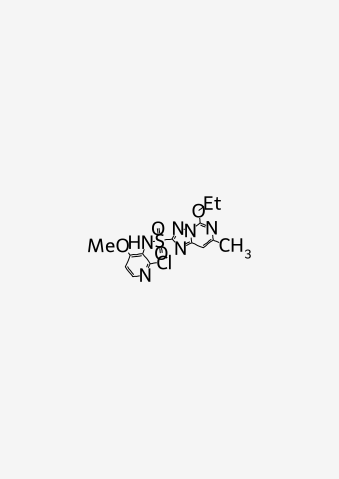 CCOc1nc(C)cc2nc(S(=O)(=O)Nc3c(OC)ccnc3Cl)nn12